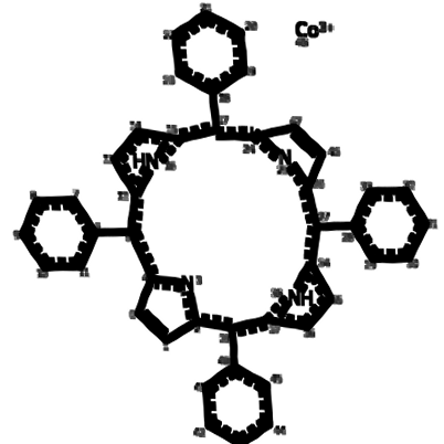 C1=Cc2nc1c(-c1ccccc1)c1ccc([nH]1)c(-c1ccccc1)c1nc(c(-c3ccccc3)c3ccc([nH]3)c2-c2ccccc2)C=C1.[Co+3]